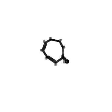 O=C1C=CC=CCCC1